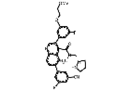 COCCOc1cc(F)cc(-c2cnc3ccc(-c4cc(F)cc(C#N)c4)cc3c2C(=O)N(C)C[C@@H]2CCCN2)c1